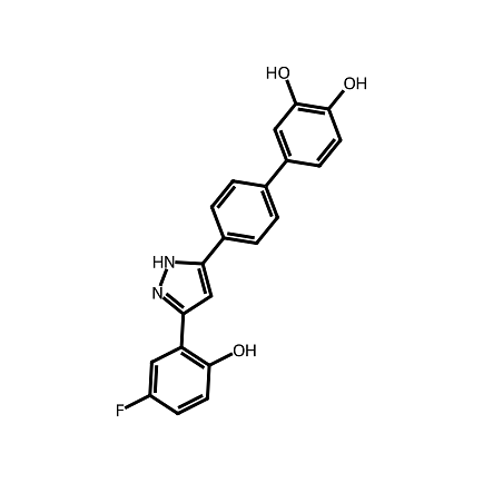 Oc1ccc(-c2ccc(-c3cc(-c4cc(F)ccc4O)n[nH]3)cc2)cc1O